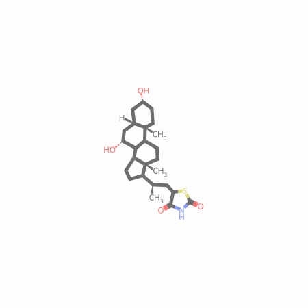 C[C@H](CC1SC(=O)NC1=O)C1CCC2C3C(CC[C@@]21C)[C@@]1(C)CC[C@@H](O)C[C@H]1C[C@H]3O